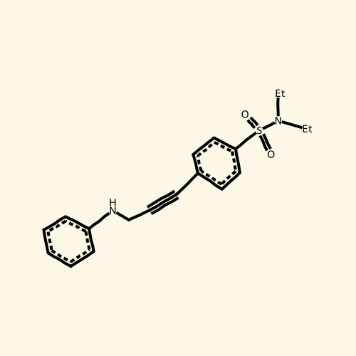 CCN(CC)S(=O)(=O)c1ccc(C#CCNc2ccccc2)cc1